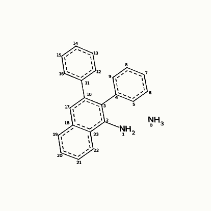 N.Nc1c(-c2ccccc2)c(-c2ccccc2)cc2ccccc12